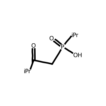 CC(C)C(=O)CP(=O)(O)C(C)C